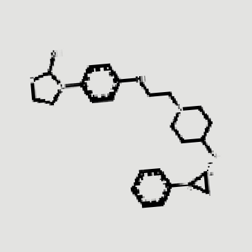 OC1OCCN1c1ccc(NCCN2CCC(N[C@@H]3C[C@H]3c3ccccc3)CC2)cc1